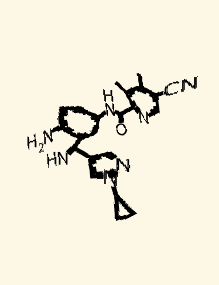 Cc1c(C#N)cnc(C(=O)Nc2ccc(N)c(C(=N)c3cnn(C4CC4)c3)c2)c1C